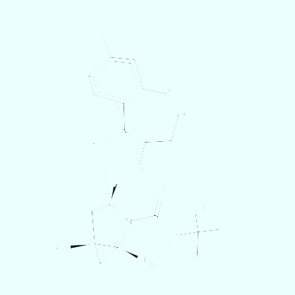 CC(C)(C)OC(=O)N1[C@@H]2C[C@@H]2C[C@H]1C(=O)OC1CCCc2cc(Br)ccc2C1=O